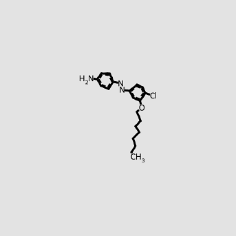 CCCCCCCCOc1cc(N=Nc2ccc(N)cc2)ccc1Cl